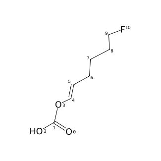 O=C(O)OC=CCCCCF